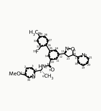 COc1ccc([C@@H](C)NC(=O)c2cc(C3=NOC(c4ccccn4)C3)cc(-c3ccc(C)cc3F)c2)nc1